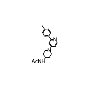 CC(=O)NC1CCN(c2ccnc(-c3ccc(C)cc3)c2)CC1